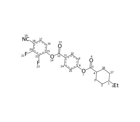 CCC1CCC(C(=O)Oc2ccc(C(=O)Oc3ccc(C#N)c(F)c3F)cc2)CC1